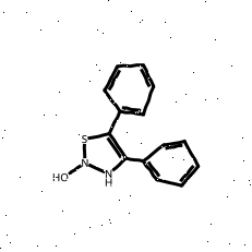 ON1NC(c2ccccc2)=C(c2ccccc2)S1